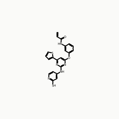 C=CC(=O)Nc1cccc(Oc2cc(-c3cccs3)nc(Nc3ccnc(S)c3)n2)c1